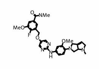 CNC(=O)c1cc(COc2cnc(Nc3ccc(N4CC5=CCN(C)C5C4)c(OC)c3)nc2)c(F)c(OC)c1